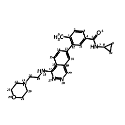 Cc1ccc(C(=O)NC2CC2)cc1-c1ccc2c(NCCN3CCOCC3)nncc2c1